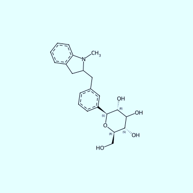 CN1c2ccccc2CC1Cc1cccc([C@@H]2O[C@H](CO)[C@@H](O)C(O)[C@H]2O)c1